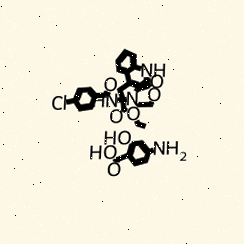 CCOC(=O)C(Cc1cc(=O)[nH]c2ccccc12)(NC(=O)c1ccc(Cl)cc1)N1CCOCC1.Nc1ccc(C(=O)O)c(O)c1